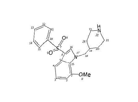 COc1cccc2c(S(=O)(=O)c3ccccc3)cn(CC3CCNCC3)c12